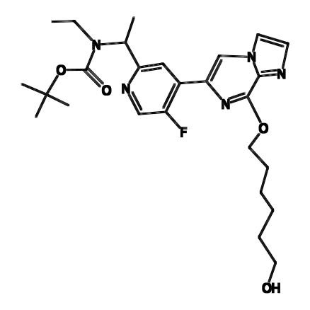 CCN(C(=O)OC(C)(C)C)C(C)c1cc(-c2cn3ccnc3c(OCCCCCCO)n2)c(F)cn1